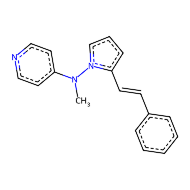 CN(c1ccncc1)n1cccc1/C=C/c1ccccc1